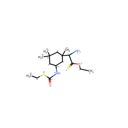 CCOC(=S)C(N)C1(C)CC(NC(=O)SCC)CC(C)(C)C1